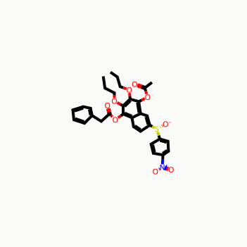 CCCOc1c(OCCC)c(OC(=O)Cc2ccccc2)c2ccc([S+]([O-])c3ccc([N+](=O)[O-])cc3)cc2c1OC(C)=O